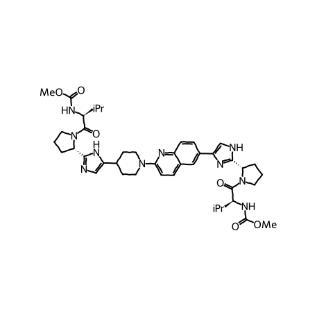 COC(=O)N[C@H](C(=O)N1CCC[C@H]1c1nc(-c2ccc3nc(N4CCC(c5cnc([C@@H]6CCCN6C(=O)[C@@H](NC(=O)OC)C(C)C)[nH]5)CC4)ccc3c2)c[nH]1)C(C)C